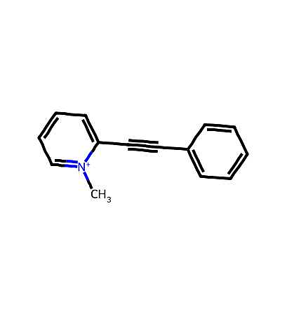 C[n+]1ccccc1C#Cc1ccccc1